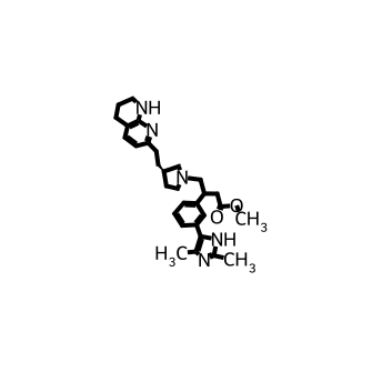 COC(=O)CC(CN1CC[C@@H](CCc2ccc3c(n2)NCCC3)C1)c1cccc(-c2[nH]c(C)nc2C)c1